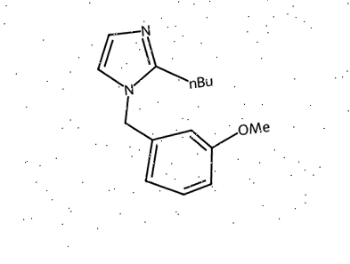 CCCCc1nccn1Cc1cccc(OC)c1